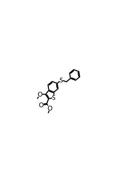 COC(=O)c1sc2cc(SCc3ccccc3)ccc2c1OC